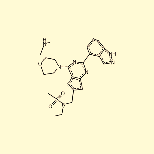 CCN(Cc1cc2nc(-c3cccc4[nH]ncc34)nc(N3CCOCC3)c2s1)S(C)(=O)=O.CNC